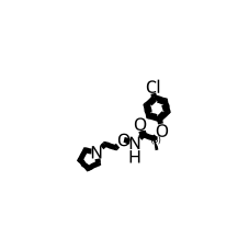 C[C@H](Oc1ccc(Cl)cc1)C(=O)NOCCN1CCCC1